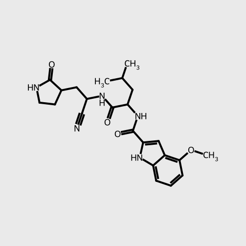 COc1cccc2[nH]c(C(=O)NC(CC(C)C)C(=O)NC(C#N)CC3CCNC3=O)cc12